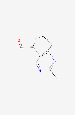 Cc1ncc2c(n1)CCCC2C=O